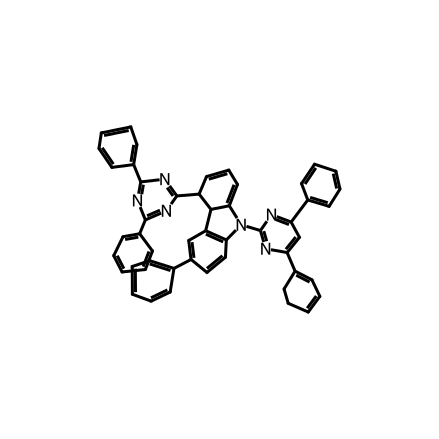 C1=CCCC(c2cc(-c3ccccc3)nc(N3C4=CC=CC(c5nc(-c6ccccc6)nc(-c6ccccc6)n5)C4c4cc(-c5ccccc5)ccc43)n2)=C1